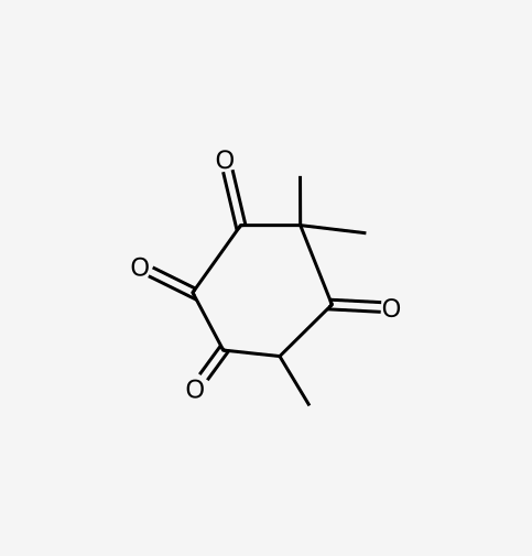 CC1C(=O)C(=O)C(=O)C(C)(C)C1=O